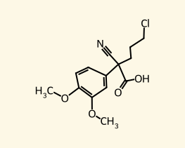 COc1ccc(C(C#N)(CCCCl)C(=O)O)cc1OC